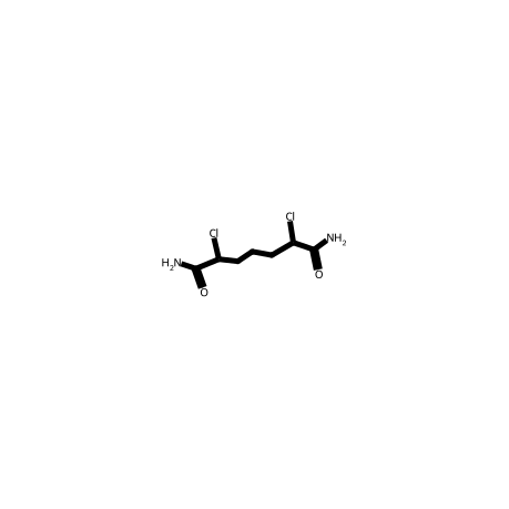 NC(=O)C(Cl)CCCC(Cl)C(N)=O